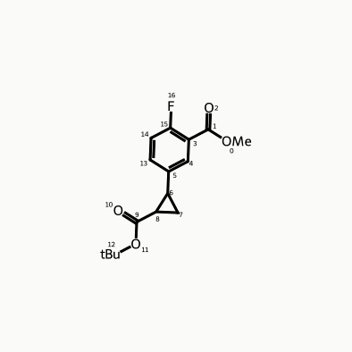 COC(=O)c1cc(C2CC2C(=O)OC(C)(C)C)ccc1F